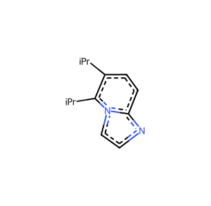 CC(C)c1ccc2nccn2c1C(C)C